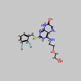 O=c1cnc2c(NCCOCCO)nc(SCc3cccc(F)c3F)nc2[nH]1